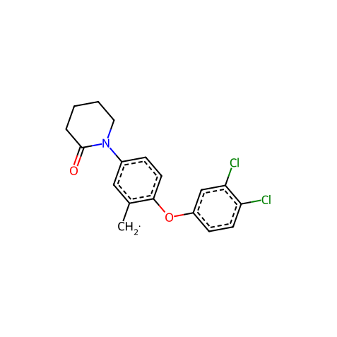 [CH2]c1cc(N2CCCCC2=O)ccc1Oc1ccc(Cl)c(Cl)c1